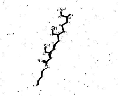 CCCCOC(=O)C=C(C=CCC(CS)CCCC(C)CS)CS